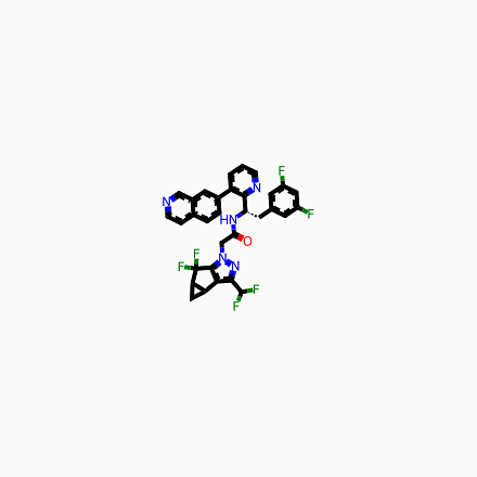 O=C(Cn1nc(C(F)F)c2c1C(F)(F)C1CC21)N[C@@H](Cc1cc(F)cc(F)c1)c1ncccc1-c1ccc2ccncc2c1